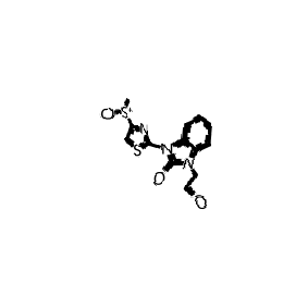 C[S+]([O-])c1csc(-n2c(=O)n(CC=O)c3ccccc32)n1